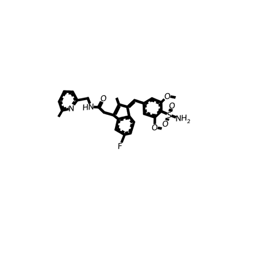 COc1cc(/C=C2/C(C)=C(CC(=O)NCc3cccc(C)n3)c3cc(F)ccc32)cc(OC)c1S(N)(=O)=O